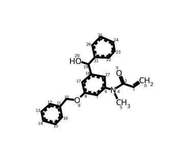 C=CC(=O)N(C)c1cc(OCc2ccccc2)cc(C(O)c2ccccc2)c1